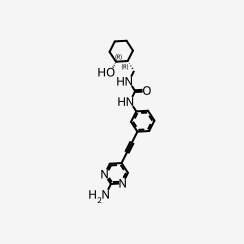 Nc1ncc(C#Cc2cccc(NC(=O)NC[C@H]3CCCC[C@H]3O)c2)cn1